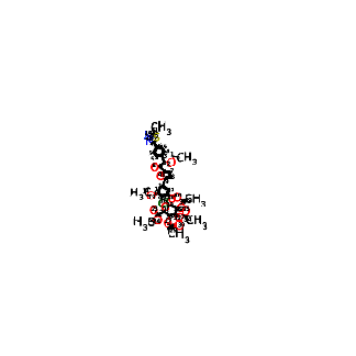 CCOC(C(=O)c1ccc(-c2cc(OC)c(Cl)c(OC3OC(C(=O)OC)C(OC(C)=O)C(OC(C)=O)C3OC(C)=O)c2)o1)c1ccc(-c2nnc(C)s2)cc1